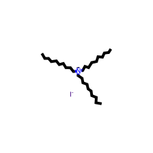 CCCCCCCCCC[N+](C)(CCCCCCCCCC)CCCCCCCCCC.[I-]